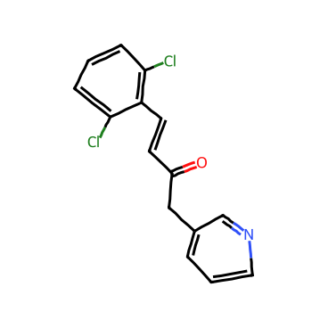 O=C(C=Cc1c(Cl)cccc1Cl)Cc1cccnc1